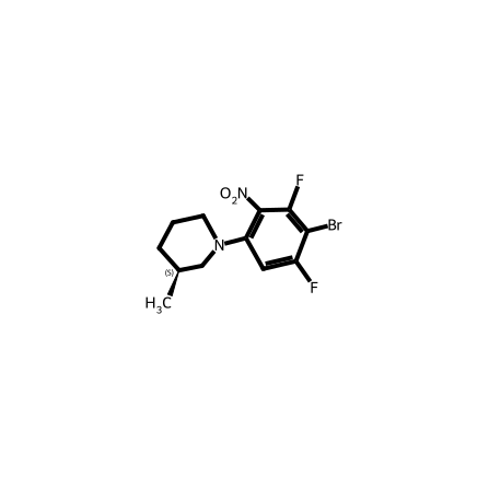 C[C@H]1CCCN(c2cc(F)c(Br)c(F)c2[N+](=O)[O-])C1